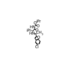 CC(C)OC(=O)NC(=O)[C@@H](NC(C)c1cc2cc(Cl)ccc2o1)C(C)C